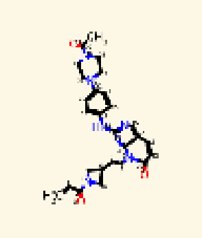 C=CC(=O)N1CC(CCn2c(=O)ccc3cnc(Nc4ccc(N5CCN(C(C)=O)CC5)cc4)nc32)C1